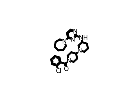 O=C(c1ccccc1Cl)N1CCC(N2CCCC(Nc3nccc(N4CCCCCC4)n3)C2)CC1